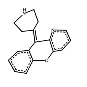 c1ccc2c(c1)Oc1cccnc1C2=C1CCNCC1